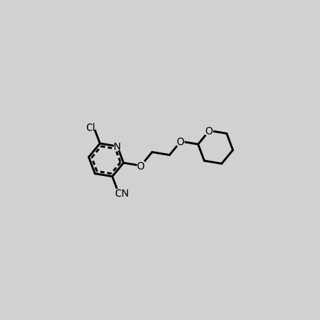 N#Cc1ccc(Cl)nc1OCCOC1CCCCO1